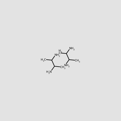 CC(N)C(C)N.CC(N)C(C)N